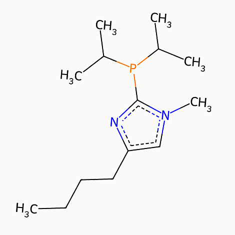 CCCCc1cn(C)c(P(C(C)C)C(C)C)n1